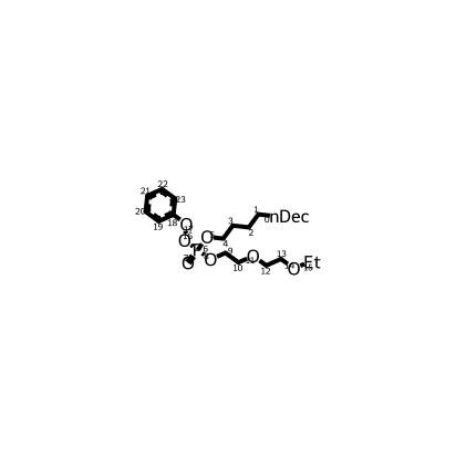 CCCCCCCCCCCCCCOP(=O)(OCCOCCOCC)OOc1ccccc1